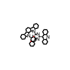 c1ccc(-c2nc(-c3c4ccccc4nc4ccccc34)nc(-n3c4ccccc4c4ccc5c6ccccc6n(-c6ccccc6)c5c43)n2)cc1